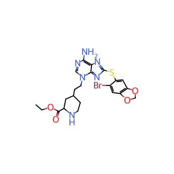 CCOC(=O)C1CC(CCn2cnc(N)c3nc(Sc4cc5c(cc4Br)OCO5)nc2-3)CCN1